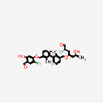 C=C(O)/C=C(\C[C@H](Cl)C=O)OCc1cccc(-c2cccc(COc3cc(O)c(C=O)cc3Cl)c2C)c1C